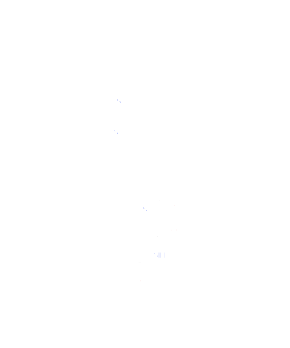 O=C1CCC(N2Cc3cc(-c4ncnc5c4oc4ccccc45)ccc3C2=O)C(=O)N1